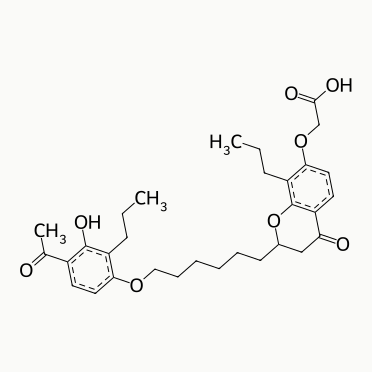 CCCc1c(OCCCCCCC2CC(=O)c3ccc(OCC(=O)O)c(CCC)c3O2)ccc(C(C)=O)c1O